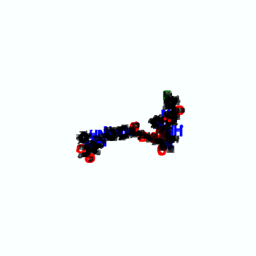 CC(=O)c1c(C)c2cnc(Nc3ccc(N4CCN(C(=O)CCOCCOCCC(=O)N(C)C(C)C(=O)N[C@H](C(=O)N5CCCC5c5nc(C(=O)c6ccc(F)cc6)cs5)C5CCCCC5)CC4)cn3)nc2n(C2CCCC2)c1=O